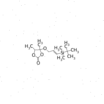 CC1OC(=O)OC1(C)OC/C=C/[Si](C)(C)C(C)(C)C